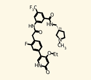 CCOc1cc(=O)[nH]cc1-c1ccc(CC(=O)Nc2cc(C(=O)NC[C@@H]3CCN(C)C3)cc(C(F)(F)F)c2)c(F)c1